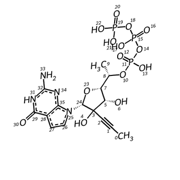 CC#CC1(O)[C@@H](O)[C@@H]([C@H](C)OP(=O)(O)OP(=O)(O)OP(=O)(O)O)O[C@H]1n1ccc2c(=O)[nH]c(N)nc21